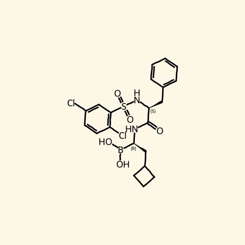 O=C(N[C@@H](CC1CCC1)B(O)O)[C@H](Cc1ccccc1)NS(=O)(=O)c1cc(Cl)ccc1Cl